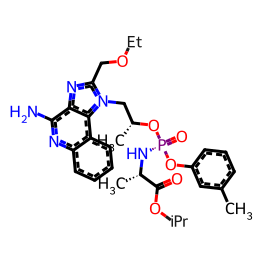 CCOCc1nc2c(N)nc3ccccc3c2n1C[C@@H](C)O[P@](=O)(N[C@@H](C)C(=O)OC(C)C)Oc1cccc(C)c1